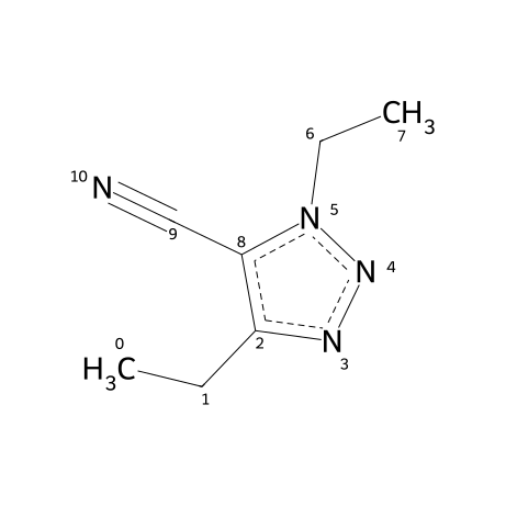 CCc1nnn(CC)c1C#N